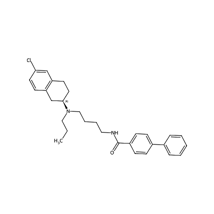 CCCN(CCCCNC(=O)c1ccc(-c2ccccc2)cc1)[C@@H]1CCc2cc(Cl)ccc2C1